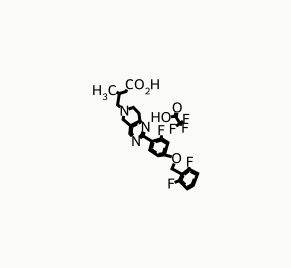 CC(CC(=O)O)CN1CCc2nc(-c3ccc(OCc4c(F)cccc4F)cc3F)ncc2C1.O=C(O)C(F)(F)F